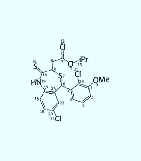 COc1cccc(C2SC(CC(=O)OC(C)C)C(=S)Nc3ccc(Cl)cc32)c1Cl